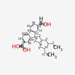 CCCCCCC1(CCCCCC)c2cc(BO)ccc2-c2ccc(B(O)O)cc21